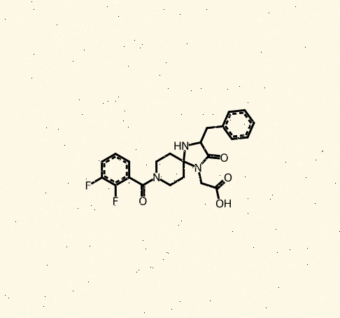 O=C(O)CN1C(=O)C(Cc2ccccc2)NC12CCN(C(=O)c1cccc(F)c1F)CC2